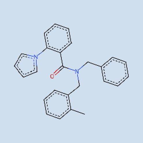 Cc1ccccc1CN(Cc1ccccc1)C(=O)c1ccccc1-n1cccc1